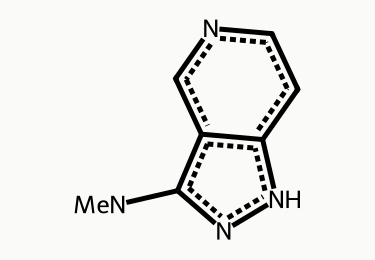 CNc1n[nH]c2ccncc12